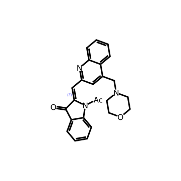 CC(=O)N1/C(=C\c2cc(CN3CCOCC3)c3ccccc3n2)C(=O)c2ccccc21